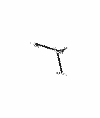 CC(C)CCCCCCCCCCCCCCC(=O)OCC(COP(=O)(O)OCCN)OC(=O)CCCCCCCCCCCCCCC(C)C